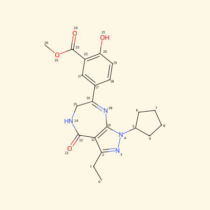 CCc1nn(C2CCCC2)c2c1C(=O)NCC(c1ccc(O)c(C(=O)OC)c1)=N2